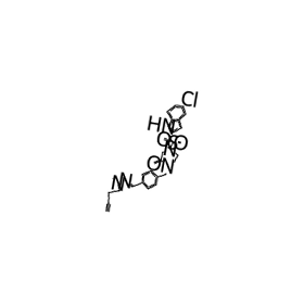 C#CCCN(C)N=Cc1ccc(CN2CCN(S(=O)(=O)c3cc4cc(Cl)ccc4[nH]3)CC2=O)cc1